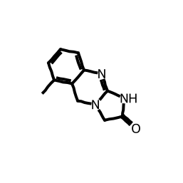 Cc1cccc2c1CN1CC(=O)NC1=N2